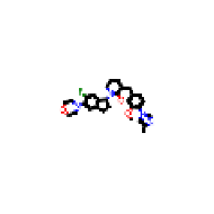 COc1cc(C=C2CCCN(C3CCc4cc(N5CCOCC5)c(F)cc43)C2=O)ccc1-n1cnc(C)c1